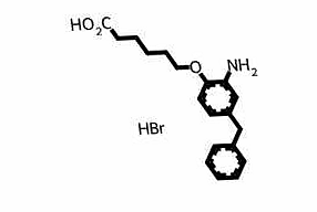 Br.Nc1cc(Cc2ccccc2)ccc1OCCCCCC(=O)O